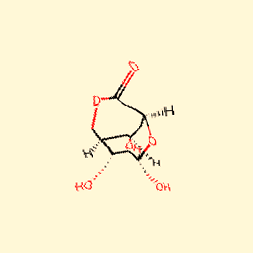 O=C1O[C@@H]2[C@@H](O)[C@@H](O)O[C@H]1[C@H]2O